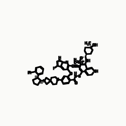 COc1nc2[nH]cc(F)c2cc1Oc1cc(N2CCC3(CC2)CN([C@H]2CCC[C@H]2c2ccccc2C(C)C)C3)ccc1C(=O)NSc1cc([NH+](C)[O-])c(NC[C@H]2CC[C@](C)(O)CC2)c2c1=CCNC=2